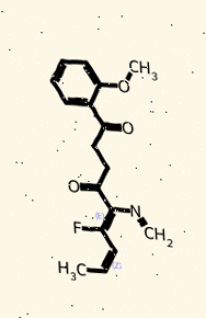 C=N/C(C(=O)CCC(=O)c1ccccc1OC)=C(F)\C=C/C